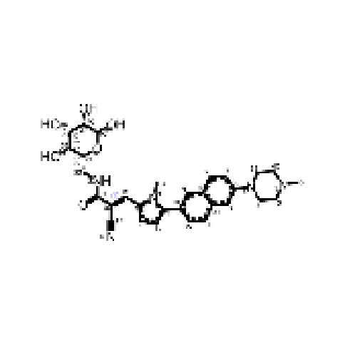 CN1CCN(c2ccc3cc(-c4ccc(/C=C(\C#N)C(=O)NC[C@H]5OC(O)[C@H](O)[C@@H](O)[C@@H]5O)n4C)ccc3c2)CC1